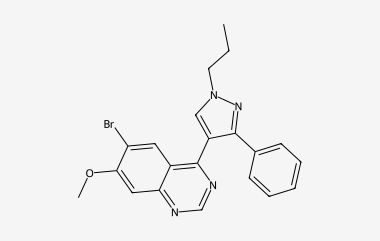 CCCn1cc(-c2ncnc3cc(OC)c(Br)cc23)c(-c2ccccc2)n1